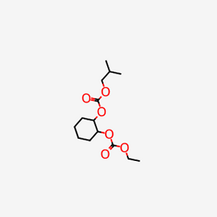 CCOC(=O)OC1CCCCC1OC(=O)OCC(C)C